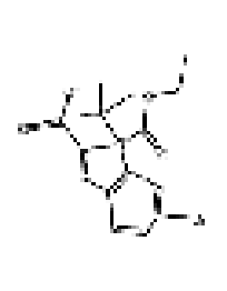 CCOC(=O)[N+]1(C(C)(C)C)C(C(=O)[O-])=Cc2ccc(Br)cc21